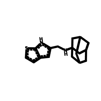 c1cc2cc(CNC34CC5CC(CC(C5)C3)C4)[nH]c2s1